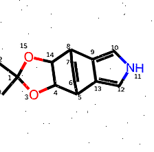 CC1(C)OC2C3C=CC(c4c[nH]cc43)C2O1